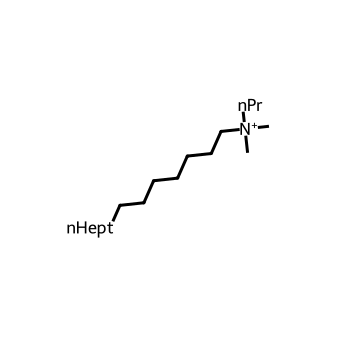 CCCCCCCCCCCCCC[N+](C)(C)CCC